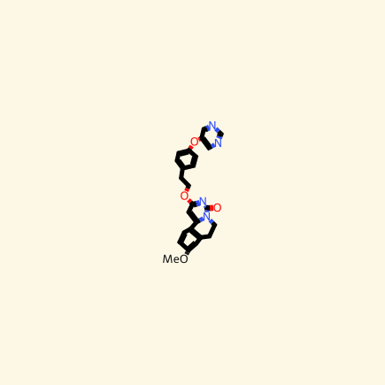 COc1ccc2c(c1)CCn1c-2cc(OCCc2ccc(Oc3cncnc3)cc2)nc1=O